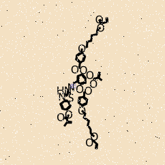 C=CC(=O)OCCCCCCOc1ccc(C(=O)Oc2cc(OC(=O)C(=C)C)c(OC(=O)c3ccc(OCCCCCCOC(=O)C=C)cc3)cc2/C=N/Nc2nc3ccc(OC(=O)C(=C)C)cc3s2)cc1